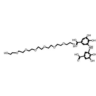 O=C(O)c1cc(O)c(O)c(O)c1.O=C(O)c1cc(O)c(O)c(O)c1.OCCOCCOCCOCCOCCOCCOCCO